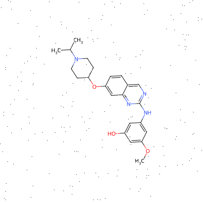 COc1cc(O)cc(Nc2ncc3ccc(OC4CCN(C(C)C)CC4)cc3n2)c1